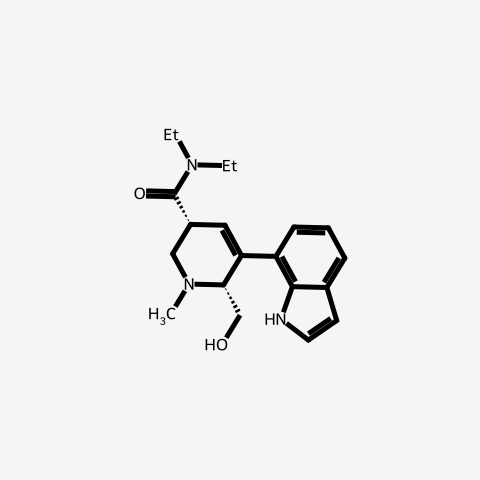 CCN(CC)C(=O)[C@@H]1C=C(c2cccc3cc[nH]c23)[C@H](CO)N(C)C1